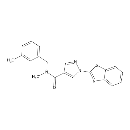 Cc1cccc(CN(C)C(=O)c2cnn(-c3nc4ccccc4s3)c2)c1